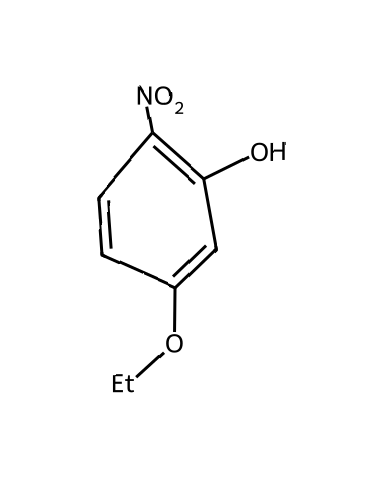 CCOc1ccc([N+](=O)[O-])c(O)c1